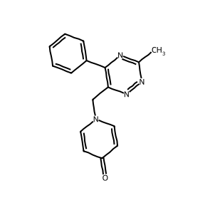 Cc1nnc(Cn2ccc(=O)cc2)c(-c2ccccc2)n1